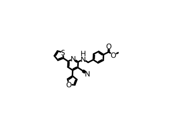 COC(=O)c1ccc(CNc2nc(-c3cccs3)cc(-c3ccoc3)c2C#N)cc1